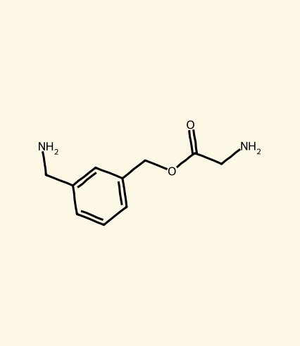 NCC(=O)OCc1cccc(CN)c1